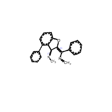 C=N/C(=C1/Oc2cccc(-c3ccccc3)c2/C1=N/C)c1ccccc1